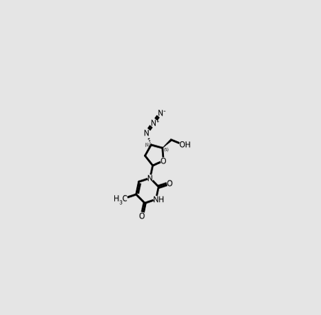 Cc1cn(C2C[C@H](N=[N+]=[N-])[C@@H](CO)O2)c(=O)[nH]c1=O